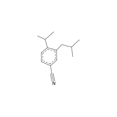 CC(C)Cc1cc(C#N)ccc1C(C)C